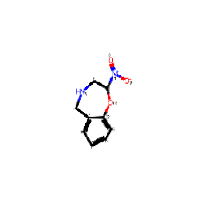 O=[N+]([O-])C1CNCc2ccccc2O1